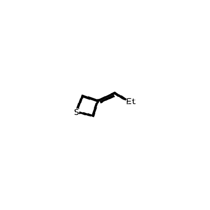 CCC=C1CSC1